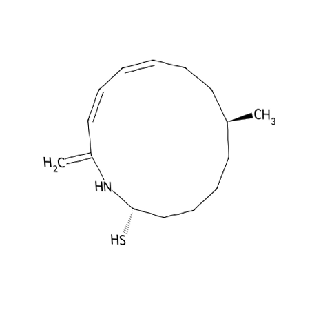 C=C1/C=C\C=C/CC[C@@H](C)CCCC[C@H](S)N1